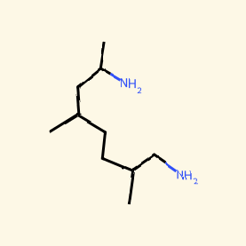 CC(N)CC(C)CCC(C)CN